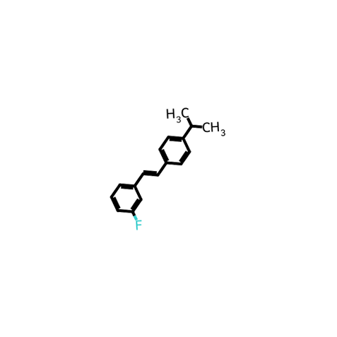 CC(C)c1ccc(/C=C/c2cccc(F)c2)cc1